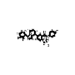 O=C(Nc1ccc(F)cc1)c1cc(-c2cccn3c(-c4cccc(F)c4F)ncc23)ccc1OC(F)(F)F